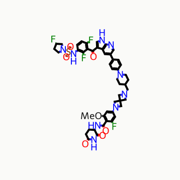 COc1cc(N2CC3(CN(CC4CCN(c5ccc(-c6cnc7[nH]cc(C(=O)c8c(F)ccc(NS(=O)(=O)N9CC[C@@H](F)C9)c8F)c7c6)cc5)CC4)C3)C2)cc(F)c1C(=O)NC1CCC(=O)NC1=O